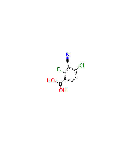 N#Cc1c(Cl)ccc(B(O)O)c1F